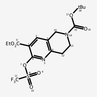 CCOC(=O)c1cc2c(nc1OS(=O)(=O)C(F)(F)F)CCN(C(=O)OC(C)(C)C)C2